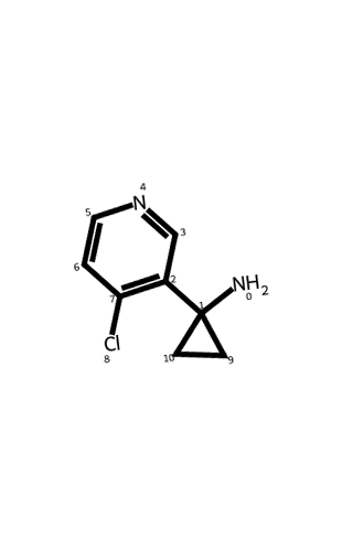 NC1(c2cnccc2Cl)CC1